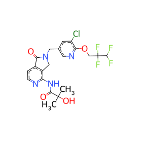 CC(C)(O)C(=O)Nc1nccc2c1CN(Cc1cnc(OCC(F)(F)C(F)F)c(Cl)c1)C2=O